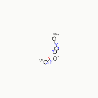 COc1ccc(CN(C)c2cc3ncc(-c4cc(NC(=O)c5cc(C(F)(F)F)ccn5)ccc4C)cc3cn2)cc1